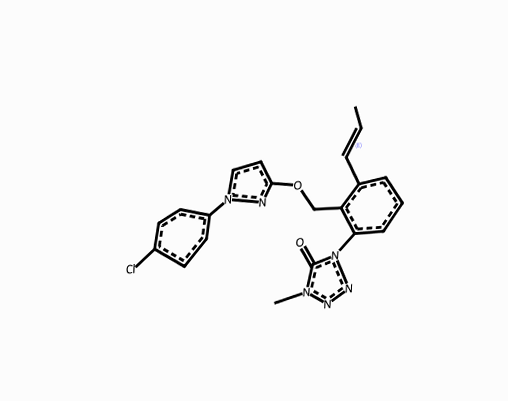 C/C=C/c1cccc(-n2nnn(C)c2=O)c1COc1ccn(-c2ccc(Cl)cc2)n1